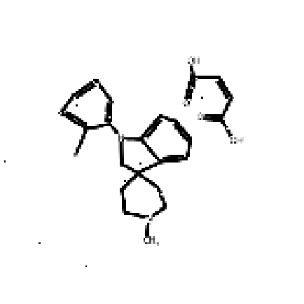 CN1CCC2(CC1)CN(c1ccccc1F)c1ccccc12.O=C(O)/C=C\C(=O)O